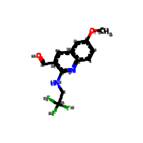 COc1ccc2nc(NCC(F)(F)F)c(C=O)cc2c1